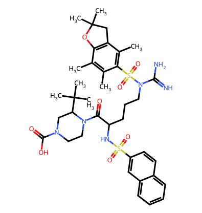 Cc1c(C)c(S(=O)(=O)N(CCCC(NS(=O)(=O)c2ccc3ccccc3c2)C(=O)N2CCN(C(=O)O)CC2C(C)(C)C)C(=N)N)c(C)c2c1OC(C)(C)C2